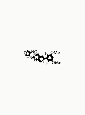 COc1cc(OC)c(F)c(-c2cc3cnc(N[C@H]4COC[C@H]4[N+](=O)[O-])nc3cn2)c1F